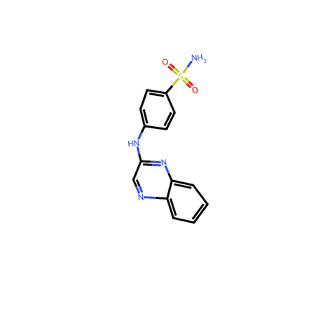 NS(=O)(=O)c1ccc(Nc2cnc3ccccc3n2)cc1